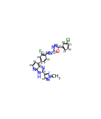 Cn1cc(-c2nc3c(-c4ccc(CNc5nnc(-c6cccc(Cl)c6)o5)c(F)c4)ccnc3[nH]2)cn1